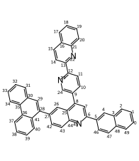 c1ccc2cc(-c3cc(-c4ccc(-c5ccc6ccccc6n5)nc4)c4cc(-c5cc6ccccc6c6ccccc56)ccc4n3)ccc2c1